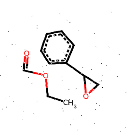 CCOC=O.c1ccc(C2CO2)cc1